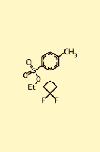 CCOS(=O)(=O)c1ccc(C)cc1C1CC(F)(F)C1